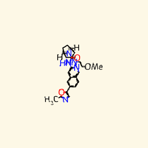 COCCN[C@H]1C[C@H]2CC[C@@H](C1)N2C(=O)Nc1cc2cc(-c3cnc(C)o3)ccc2cn1